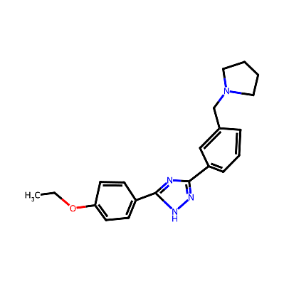 CCOc1ccc(-c2nc(-c3cccc(CN4CCCC4)c3)n[nH]2)cc1